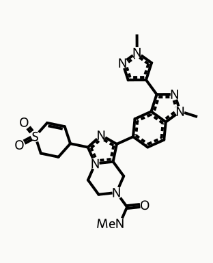 CNC(=O)N1CCn2c(C3C=CS(=O)(=O)CC3)nc(-c3ccc4c(c3)c(-c3cnn(C)c3)nn4C)c2C1